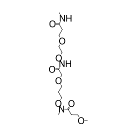 CNC(=O)CCOCCONC(=O)COCCCON(C)C(=O)CCOC